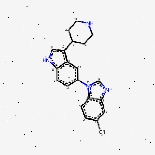 N#Cc1ccc2c(c1)ncn2-c1ccc2[nH]cc(C3CCNCC3)c2c1